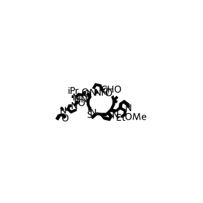 C=CC(=O)N(C)C1CCN(C(=O)N(C)[C@H](C(=O)N[C@H]2Cc3nc(cs3)-c3ccc4c(c3)c(c(-c3cccnc3[C@H](C)OC)n4CC)CC(C)(C)COC[C@@]3(C=O)CCCN(N3)C2=O)C(C)C)C1